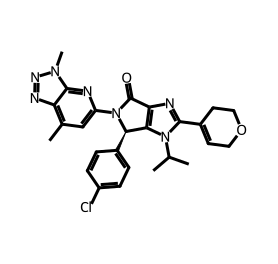 Cc1cc(N2C(=O)c3nc(C4=CCOCC4)n(C(C)C)c3[C@H]2c2ccc(Cl)cc2)nc2c1nnn2C